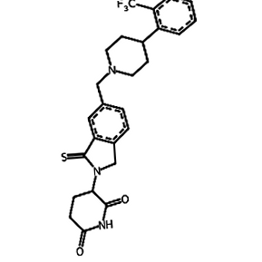 O=C1CCC(N2Cc3ccc(CN4CCC(c5ccccc5C(F)(F)F)CC4)cc3C2=S)C(=O)N1